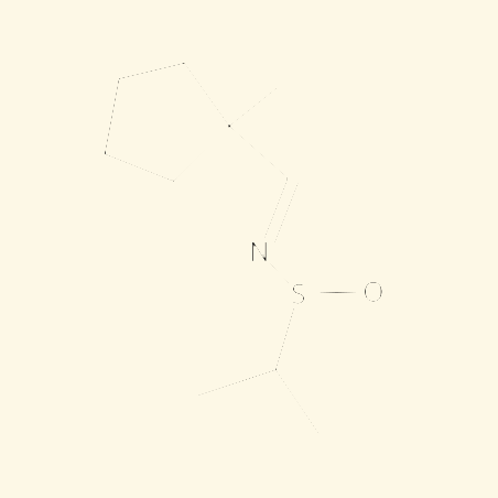 CC(C)[S+]([O-])N=CC1(C)CCCC1